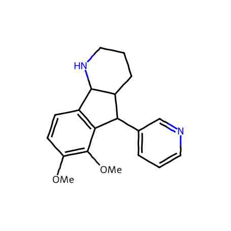 COc1ccc2c(c1OC)C(c1cccnc1)C1CCCNC21